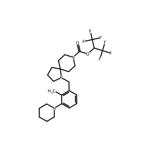 Cc1c(CN2CCCC23CCN(C(=O)OC(C(F)(F)F)C(F)(F)F)CC3)cccc1N1CCCCC1